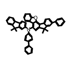 CC1(C)c2ccccc2-c2ccc(N(c3ccc(-c4ccccc4)cc3)c3cc4c(c5oc6ccccc6c35)-c3ccc(-c5ccccc5)cc3C4(C)C)cc21